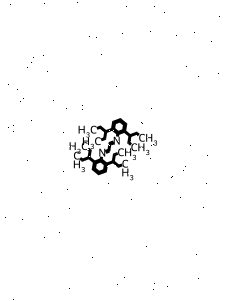 CCC(CC)c1cccc(C(CC)CC)c1N=CC=Nc1c(C(CC)CC)cccc1C(CC)CC